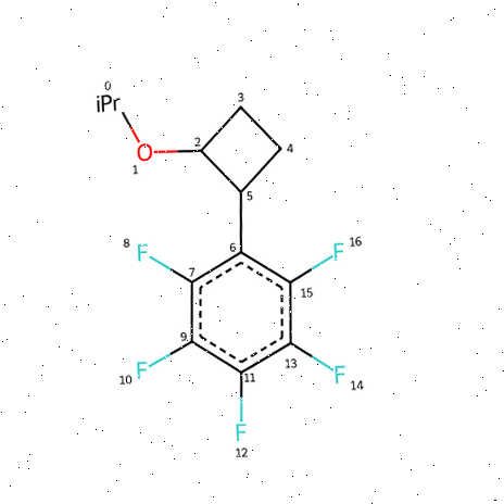 CC(C)OC1CCC1c1c(F)c(F)c(F)c(F)c1F